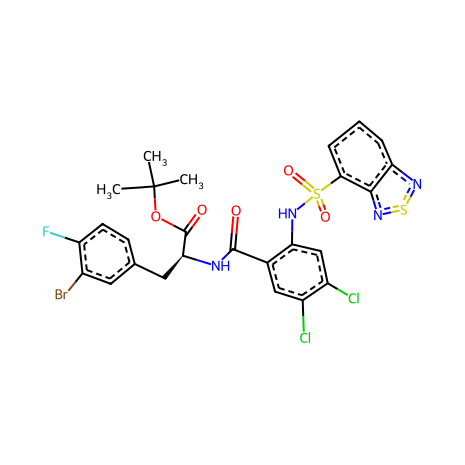 CC(C)(C)OC(=O)[C@H](Cc1ccc(F)c(Br)c1)NC(=O)c1cc(Cl)c(Cl)cc1NS(=O)(=O)c1cccc2nsnc12